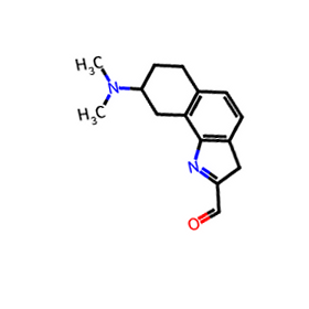 CN(C)C1CCc2ccc3c(c2C1)N=C(C=O)C3